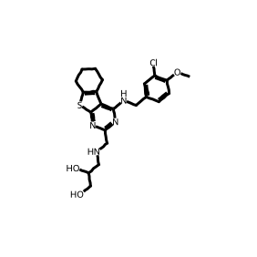 COc1ccc(CNc2nc(CNCC(O)CO)nc3sc4c(c23)CCCC4)cc1Cl